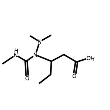 CCC(CC(=O)O)N(C(=O)NC)N(C)C